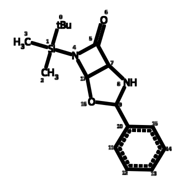 CC(C)(C)[Si](C)(C)N1C(=O)C2NC(c3ccccc3)OC21